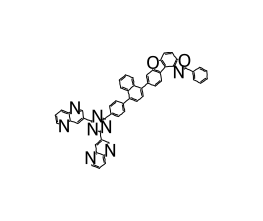 c1ccc(-c2nc3c(ccc4oc5cc(-c6ccc(-c7ccc(-c8nc(-c9cnc%10cccnc%10c9)nc(-c9cnc%10cccnc%10c9)n8)cc7)c7ccccc67)ccc5c43)o2)cc1